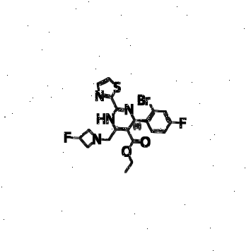 CCOC(=O)C1=C(CN2CC(F)C2)NC(c2nccs2)=N[C@H]1c1ccc(F)cc1Br